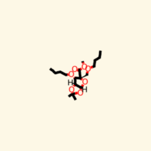 CCCCOC[C@@]1(C(=O)OC)O[C@@H]2OC(C)(C)O[C@H]2C1OCCCC